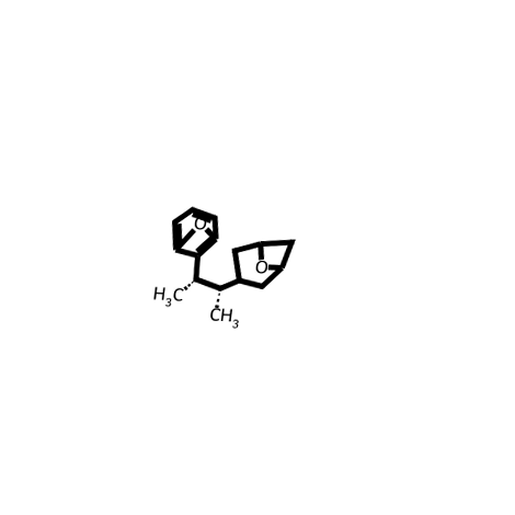 C[C@H](c1c2cccc1O2)[C@@H](C)C1CC2CC(C1)O2